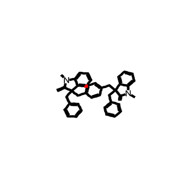 C=C1N(C)c2ccccc2C1(Cc1ccccc1)Cc1ccc(CC2(Cc3ccccc3)C(=C)N(C)c3ccccc32)cc1